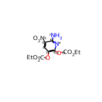 CCOC(=O)Oc1cc([N+](=O)[O-])c(N)nc1OC(=O)OCC